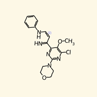 COc1c(Cl)nc(N2CCOCC2)nc1C(=N)/C=C\Nc1ccccc1